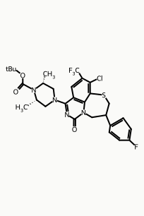 C[C@@H]1CN(c2nc(=O)n3c4c(c(Cl)c(C(F)(F)F)cc24)SCC(c2ccc(F)cc2)C3)C[C@H](C)N1C(=O)OC(C)(C)C